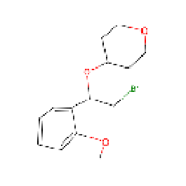 COc1ccccc1C(CBr)OC1CCOCC1